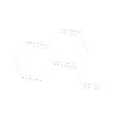 O=Cc1cc[c]c2ccccc12